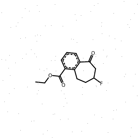 CCOC(=O)c1cccc2c1CCC(F)CC2=O